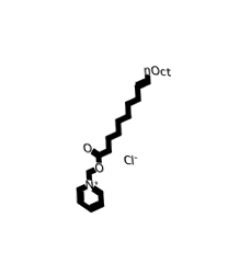 CCCCCCCCC=CCCCCCCCC(=O)OC[n+]1ccccc1.[Cl-]